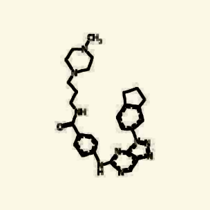 CN1CCN(CCCNC(=O)c2ccc(Nc3ncc4nnn(-c5ccc6c(c5)CCC6)c4n3)cc2)CC1